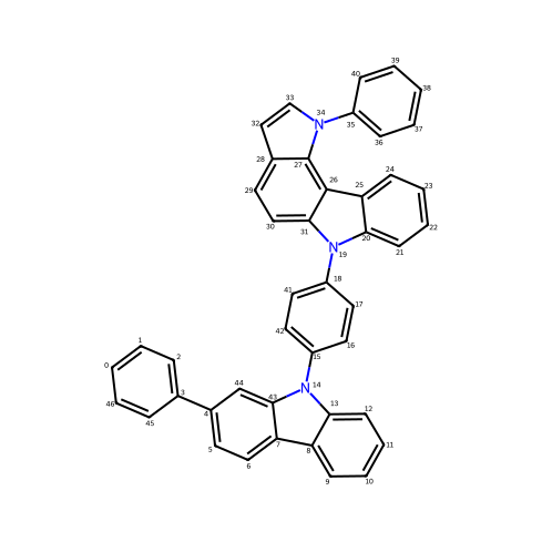 c1ccc(-c2ccc3c4ccccc4n(-c4ccc(-n5c6ccccc6c6c7c(ccc65)ccn7-c5ccccc5)cc4)c3c2)cc1